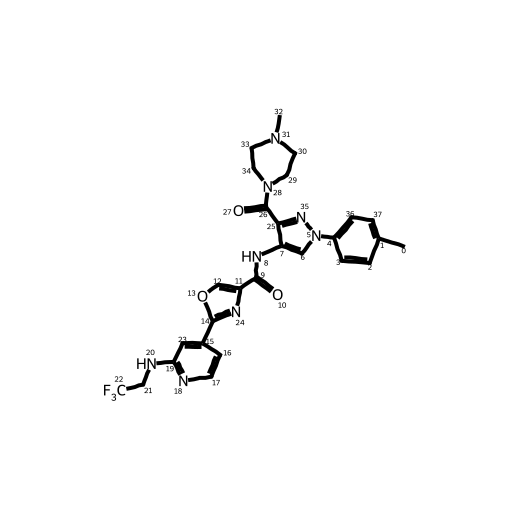 Cc1ccc(-n2cc(NC(=O)c3coc(-c4ccnc(NCC(F)(F)F)c4)n3)c(C(=O)N3CCN(C)CC3)n2)cc1